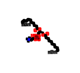 CCCCCCCC/C=C\C/C=C\CCCCC(=O)O[C@H](COC(=O)CCCCCCC/C=C\CCCCCCCC)COP(=O)(O)OCC[N+](C)(C)C